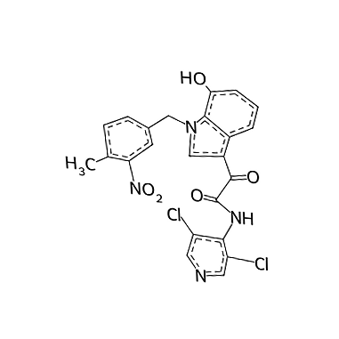 Cc1ccc(Cn2cc(C(=O)C(=O)Nc3c(Cl)cncc3Cl)c3cccc(O)c32)cc1[N+](=O)[O-]